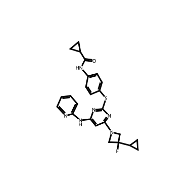 O=C(Nc1ccc(Sc2nc(Nc3ccccn3)cc(N3CC(F)(C4CC4)C3)n2)cc1)C1CC1